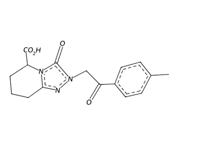 Cc1ccc(C(=O)Cn2nc3n(c2=O)C(C(=O)O)CCC3)cc1